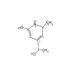 CC1C=C(C(C)C)C=C(O)N1